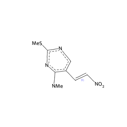 CNc1nc(SC)ncc1/C=C/[N+](=O)[O-]